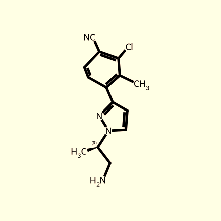 Cc1c(-c2ccn([C@H](C)CN)n2)ccc(C#N)c1Cl